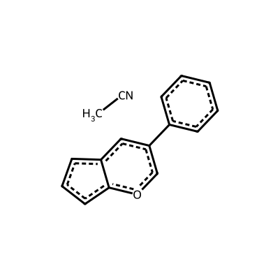 CC#N.c1ccc(-c2coc3cccc-3c2)cc1